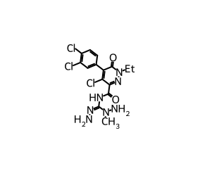 CCn1nc(C(=O)N/C(=N/N)N(C)N)c(Cl)c(-c2ccc(Cl)c(Cl)c2)c1=O